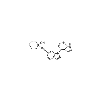 OC1(C#Cc2ccc3cnn(-c4ccnc5[nH]ccc45)c3c2)CCCCC1